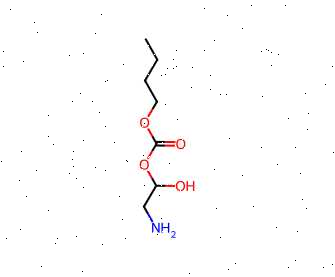 CCCCOC(=O)OC(O)CN